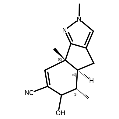 C[C@@H]1C(O)C(C#N)=C[C@]2(C)c3nn(C)cc3C[C@@H]12